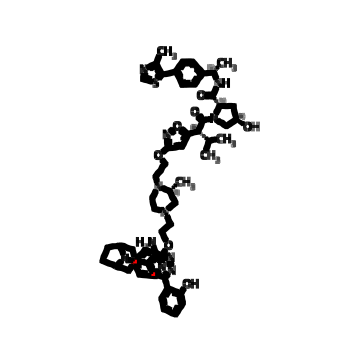 Cc1ncsc1-c1ccc([C@H](C)NC(=O)[C@@H]2C[C@@H](O)CN2C(=O)[C@@H](c2cc(OCCN3CCN(CCOc4cc(N5C6CCC5CN(c5cc(-c7ccccc7O)nnc5N)C6)ccn4)C[C@H]3C)no2)C(C)C)cc1